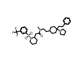 CN(CCC1CCC(CCc2ccccc2)(N2CCCC2)CC1)C(=O)CC1CCCCN1S(=O)(=O)c1cccc(C(F)(F)F)c1